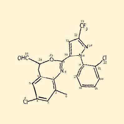 Cc1cc(Cl)cc2c1N=C(c1cc(C(F)(F)F)nn1-c1ccccc1Cl)OC2C=O